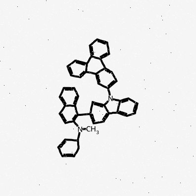 CN(c1ccc2ccccc2c1-c1ccc2c3ccccc3n(-c3ccc4c5ccccc5c5ccccc5c4c3)c2c1)C1C=CC=CC1